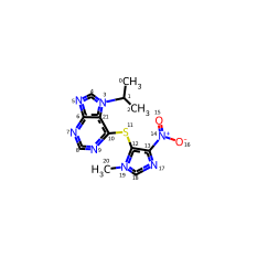 CC(C)n1cnc2ncnc(Sc3c([N+](=O)[O-])ncn3C)c21